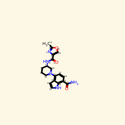 Cc1nc(C(=O)N[C@@H]2CCCN(c3ccc(C(N)=O)c4[nH]ccc34)C2)co1